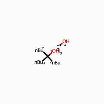 CCCCC(O)(CCCC)CCCC.CO